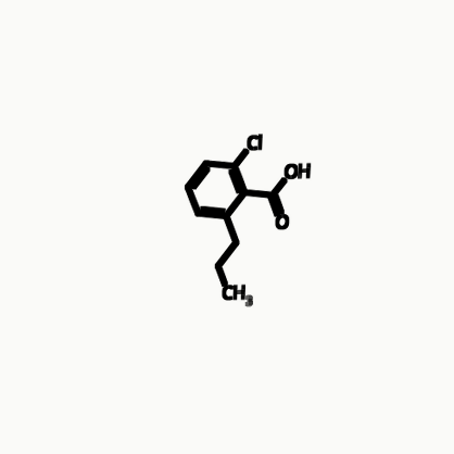 CCCc1cccc(Cl)c1C(=O)O